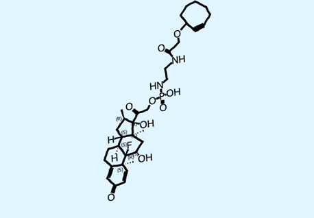 C[C@@H]1C[C@H]2[C@@H]3CCC4=CC(=O)C=C[C@]4(C)[C@@]3(F)[C@@H](O)C[C@]2(C)[C@@]1(O)C(=O)COP(=O)(O)NCCNC(=O)COC1C#CCCCCC1